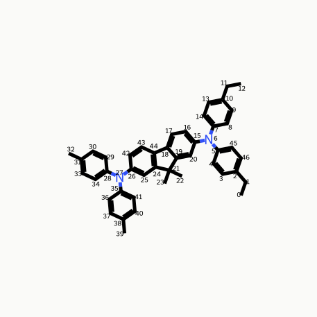 CCc1ccc(N(c2ccc(CC)cc2)c2ccc3c(c2)C(C)(C)c2cc(N(c4ccc(C)cc4)c4ccc(C)cc4)ccc2-3)cc1